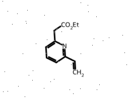 C=Cc1cccc(CC(=O)OCC)n1